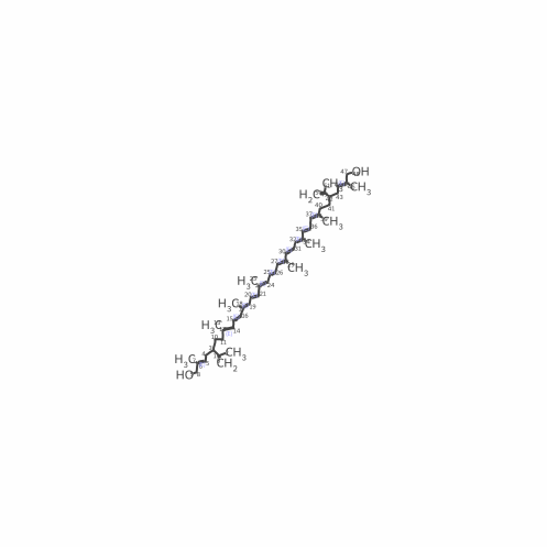 C=C(C)C(C/C=C(\C)CO)CC/C(C)=C/C=C/C(C)=C/C=C/C(C)=C/C=C/C=C(C)/C=C/C=C(C)/C=C/C=C(\C)CCC(C/C=C(\C)CO)C(=C)C